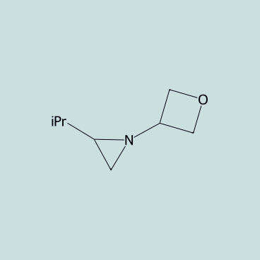 CC(C)C1CN1C1COC1